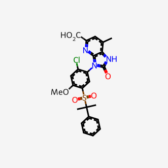 COc1cc(Cl)c(-n2c(=O)[nH]c3c(C)cc(C(=O)O)nc32)cc1S(=O)(=O)C(C)(C)c1ccccc1